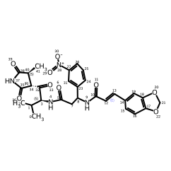 CC(C)[C@H](NC(=O)CC(NC(=O)/C=C/c1ccc2c(c1)OCO2)c1cccc([N+](=O)[O-])c1)C(=O)[C@@H]1C(=O)NC(=O)[C@H]1C